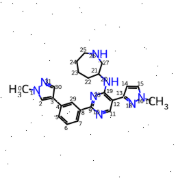 Cn1cc(-c2cccc(-c3ncc(-c4ccn(C)n4)c(NC4CCCCNC4)n3)c2)cn1